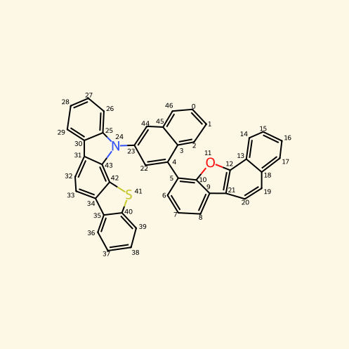 c1ccc2c(-c3cccc4c3oc3c5ccccc5ccc43)cc(-n3c4ccccc4c4ccc5c6ccccc6sc5c43)cc2c1